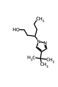 CCCC(CCO)n1cc(C(C)(C)C)cn1